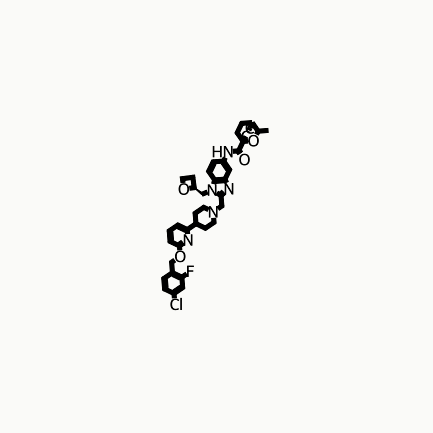 CC1OC2(C(=O)Nc3ccc4c(c3)nc(CN3CCC(c5cccc(OCc6ccc(Cl)cc6F)n5)CC3)n4C[C@@H]3CCO3)CCC1CC2